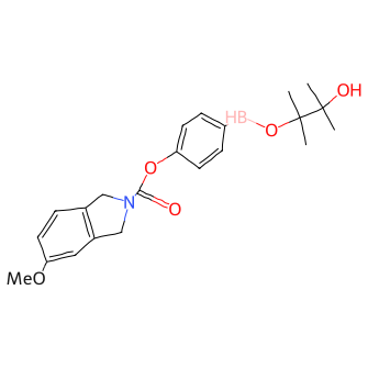 COc1ccc2c(c1)CN(C(=O)Oc1ccc(BOC(C)(C)C(C)(C)O)cc1)C2